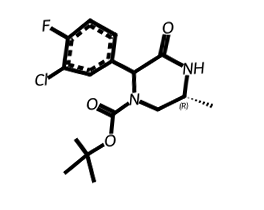 C[C@@H]1CN(C(=O)OC(C)(C)C)C(c2ccc(F)c(Cl)c2)C(=O)N1